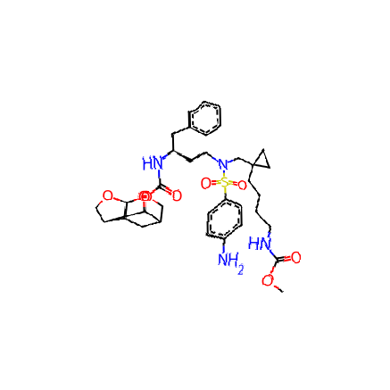 COC(=O)NCCCCC1(CN(CC[C@H](Cc2ccccc2)NC(=O)OC2C3COC4OCC2C4C3)S(=O)(=O)c2ccc(N)cc2)CC1